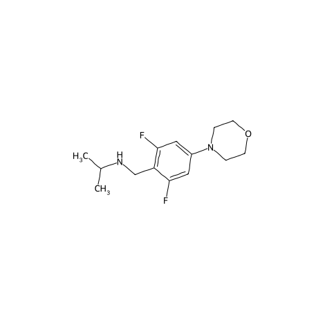 CC(C)NCc1c(F)cc(N2CCOCC2)cc1F